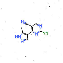 Cc1[nH]ncc1-c1nc(Cl)ncc1C#N